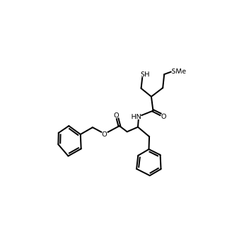 CSCCC(CS)C(=O)NC(CC(=O)OCc1ccccc1)Cc1ccccc1